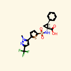 Cn1nc(C(F)(F)F)cc1-c1ccc(S(=O)(=O)N[C@]2(C(=O)O)C[C@H]2c2ccccc2)s1